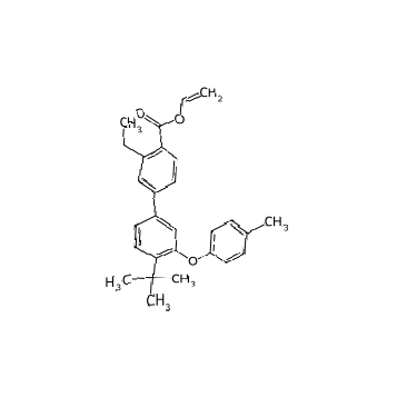 C=COC(=O)c1ccc(-c2ccc(C(C)(C)C)c(Oc3ccc(C)cc3)c2)cc1CC